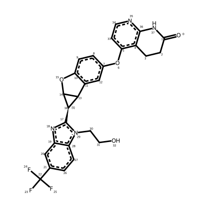 O=C1CCc2c(Oc3ccc4c(c3)C3C(O4)[C@@H]3c3nc4cc(C(F)(F)F)ccc4n3CCO)ccnc2N1